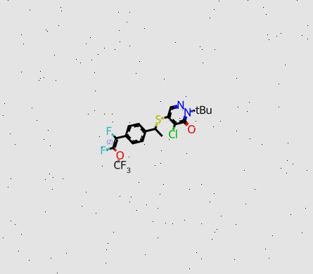 CC(Sc1cnn(C(C)(C)C)c(=O)c1Cl)c1ccc(/C(F)=C(/F)OC(F)(F)F)cc1